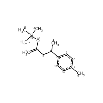 C=C(CC(C)c1ccc(C)cc1)O[Si](C)(C)C